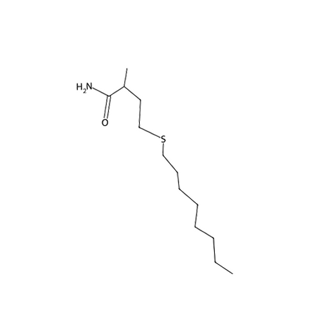 CCCCCCCCSCCC(C)C(N)=O